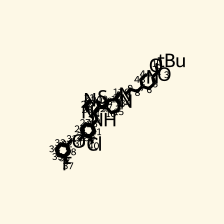 CC(C)(C)OC(=O)N1CCC(CCn2cc3c(n2)CCc2c-3sc3ncnc(Nc4ccc(OCc5cccc(F)c5)c(Cl)c4)c23)CC1